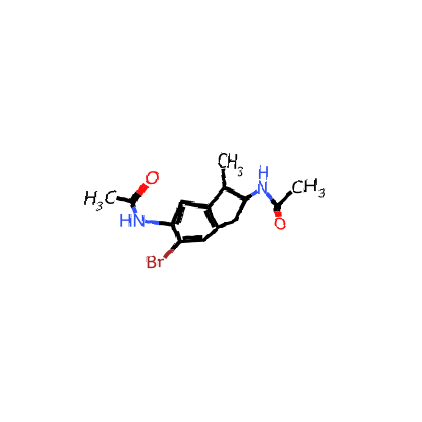 CC(=O)Nc1cc2c(cc1Br)CC(NC(C)=O)C2C